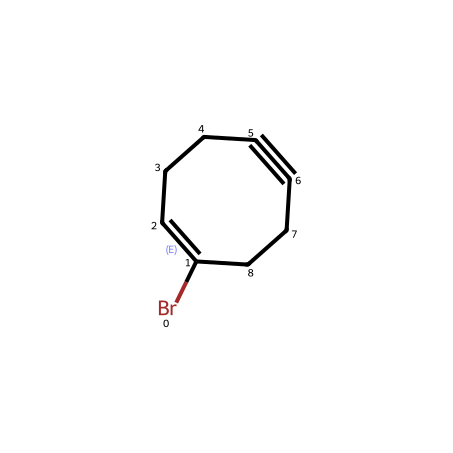 Br/C1=C/CCC#CCC1